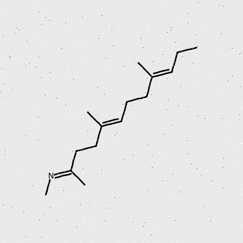 CC/C=C(\C)CC/C=C(\C)CC/C(C)=N/C